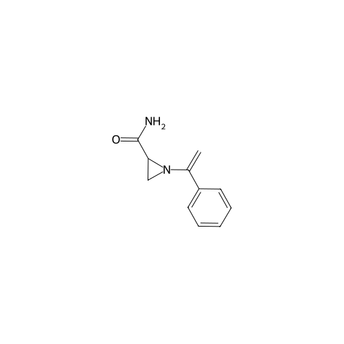 C=C(c1ccccc1)N1CC1C(N)=O